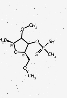 B[C@@H]1O[C@H](COC)C(OP(C)(=S)S)C1OC